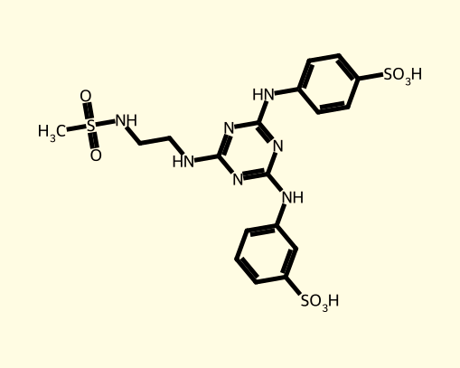 CS(=O)(=O)NCCNc1nc(Nc2ccc(S(=O)(=O)O)cc2)nc(Nc2cccc(S(=O)(=O)O)c2)n1